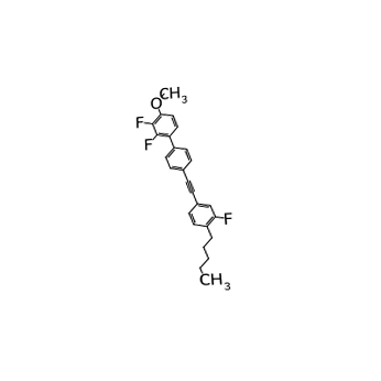 CCCCCc1ccc(C#Cc2ccc(-c3ccc(OC)c(F)c3F)cc2)cc1F